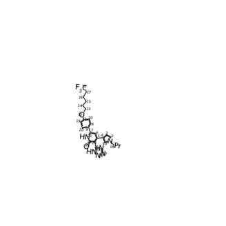 CC(C)n1ccc(-c2cc(-c3ccc(OCCCCCC(F)(F)F)cc3)[nH]c(=O)c2-c2nnn[nH]2)c1